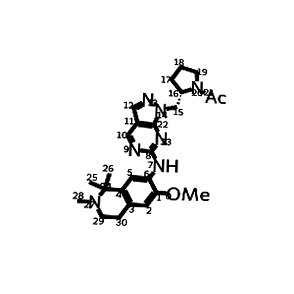 COc1cc2c(cc1Nc1ncc3cnn(C[C@@H]4CCCN4C(C)=O)c3n1)C(C)(C)N(C)CC2